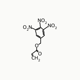 C=CC(=O)OCc1cc([N+](=O)[O-])c([N+](=O)[O-])c([N+](=O)[O-])c1